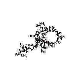 CC[C@H](C)[C@@H]1NC(=O)CNC(=O)[C@@H]2Cc3c([nH]c4cc(OCc5ccc(NC(=O)[C@H](C)NC(=O)C(N)C(C)C)cc5)ccc34)[S+]([O-])C[C@H](NC(=O)CNC1=O)C(=O)N[C@@H](CCC(N)=O)C(=O)N1C[C@H](O)C[C@H]1C(=O)N[C@@H]([C@@H](C)[C@@H](O)CO)C(=O)N2